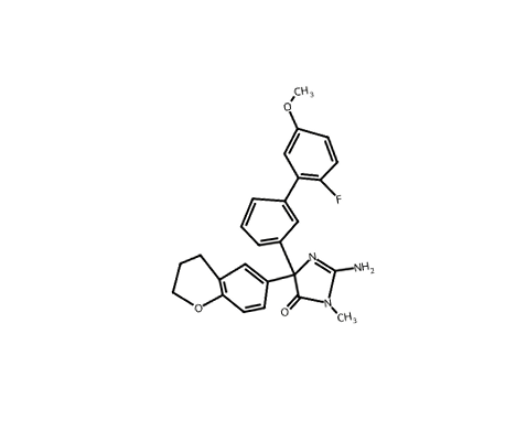 COc1ccc(F)c(-c2cccc(C3(c4ccc5c(c4)CCCO5)N=C(N)N(C)C3=O)c2)c1